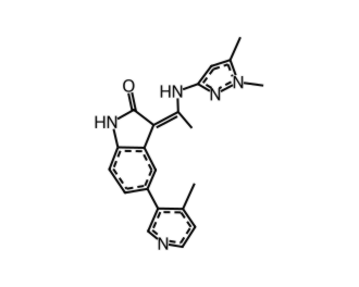 C/C(Nc1cc(C)n(C)n1)=C1/C(=O)Nc2ccc(-c3cnccc3C)cc21